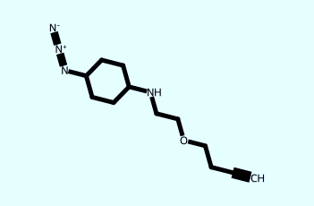 C#CCCOCCNC1CCC(N=[N+]=[N-])CC1